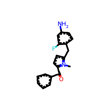 Cn1c(Cc2ccc(N)cc2F)ccc1C(=O)c1ccccc1